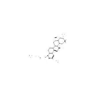 COCOC[C@@]1(C)C(=O)C(C#N)=C[C@]2(C)C3=CC(=O)C4C5CC(C)(C)CC[C@]5(C(=O)OC)CCC4[C@]3(C)CCC12